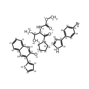 COC(=O)NC(C(=O)N1C[C@@H](Oc2nc3ccccc3nc2-c2cccs2)C[C@H]1c1nc(-c2ccc(Br)cc2)c[nH]1)C(C)C